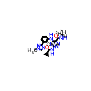 [2H]C([2H])([2H])NC(=O)c1nnc(NC(=O)C2CC2)nc1Nc1cccc(-c2ncn(C)n2)c1OC